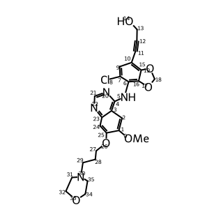 COc1cc2c(Nc3c(Cl)cc(C#CCO)c4c3OCO4)ncnc2cc1OCCCN1CCOCC1